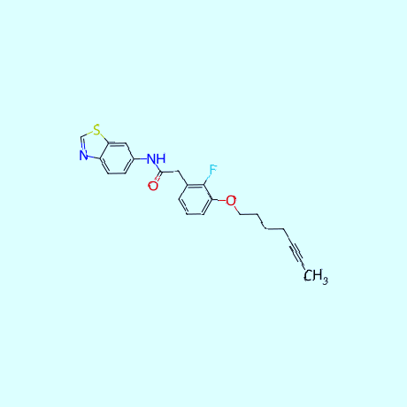 CC#CCCCCOc1cccc(CC(=O)Nc2ccc3ncsc3c2)c1F